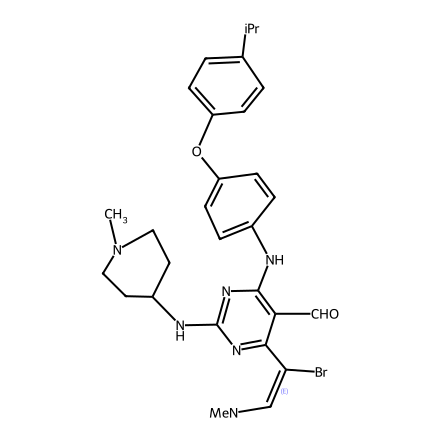 CN/C=C(/Br)c1nc(NC2CCN(C)CC2)nc(Nc2ccc(Oc3ccc(C(C)C)cc3)cc2)c1C=O